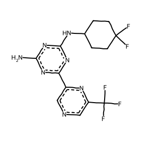 Nc1nc(NC2CCC(F)(F)CC2)nc(-c2cncc(C(F)(F)F)n2)n1